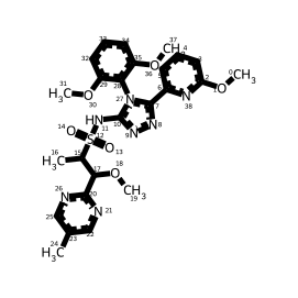 COc1cccc(-c2nnc(NS(=O)(=O)C(C)C(OC)c3ncc(C)cn3)n2-c2c(OC)cccc2OC)n1